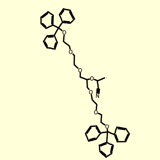 [CH2]C(C#N)OC(COCCOCCOC(c1ccccc1)(c1ccccc1)c1ccccc1)COCCOCCOC(c1ccccc1)(c1ccccc1)c1ccccc1